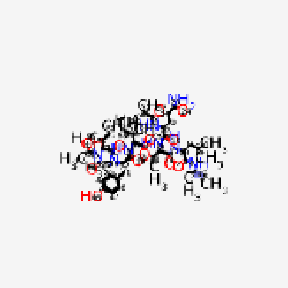 C/C=C(\C)NC(=O)[C@H](CC(C)C)NC(=O)[C@@H](NC(=O)[C@H](CCC(N)=O)NC(=O)C(C)C)[C@@H](C)OC(=O)[C@@H](NC(=O)[C@H](Cc1ccc(O)cc1)N(C)C(=O)[C@H](C(C)CC)N(C=O)[C@H](C)O)C(C)CC